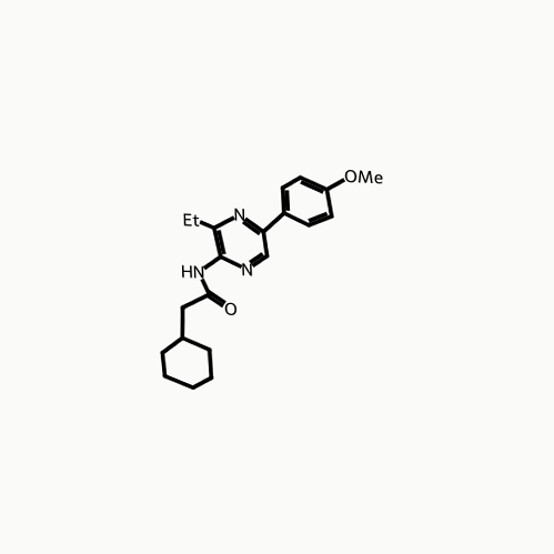 CCc1nc(-c2ccc(OC)cc2)cnc1NC(=O)CC1CCCCC1